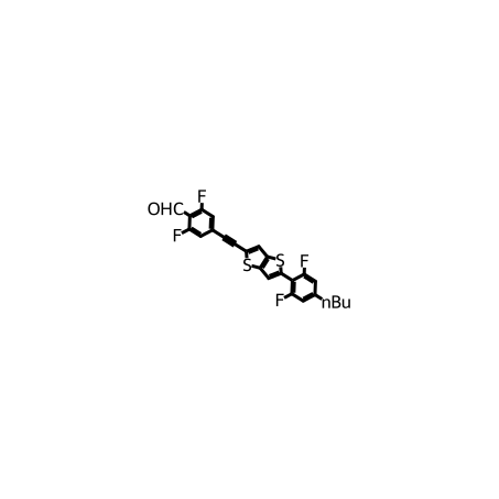 CCCCc1cc(F)c(-c2cc3sc(C#Cc4cc(F)c(C=O)c(F)c4)cc3s2)c(F)c1